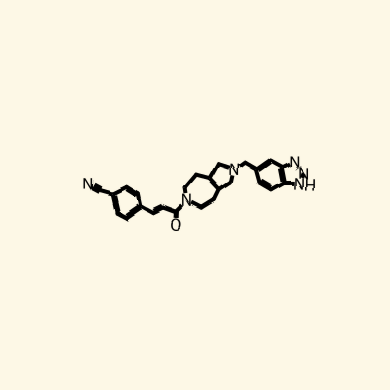 N#Cc1ccc(/C=C/C(=O)N2CCC3CN(Cc4ccc5[nH]nnc5c4)CC3CC2)cc1